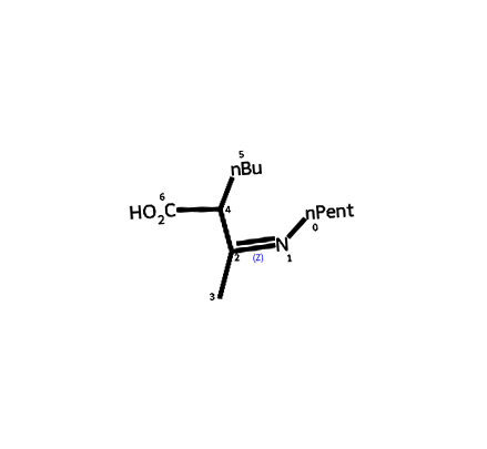 CCCCC/N=C(/C)C(CCCC)C(=O)O